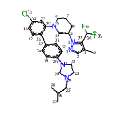 Cc1cnn(C2CCCN(c3cc(Cl)ccc3-c3ccc(N4CCN(CC(C)C)C4)cc3)C2)c1C(F)F